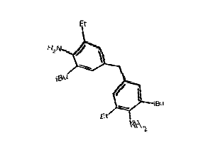 CCc1cc(Cc2cc(CC)c(N)c(C(C)CC)c2)cc(C(C)CC)c1N